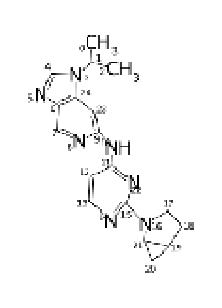 CC(C)n1cnc2cnc(Nc3ccnc(N4CCC5CC54)n3)cc21